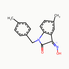 Cc1ccc(CN2C(=O)/C(=N\O)c3cc(C)ccc32)cc1